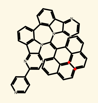 c1ccc2c(C(c3cccc4ccccc34)=c3n4c5nccnc5c5cccc(c6cccc7c8nc(-c9ccncc9)cnc8n3c67)c54)cccc2c1